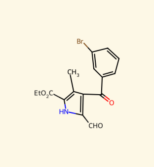 CCOC(=O)c1[nH]c(C=O)c(C(=O)c2cccc(Br)c2)c1C